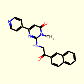 Cn1c(NCC(=O)c2ccc3ccccc3c2)nc(-c2ccncc2)cc1=O